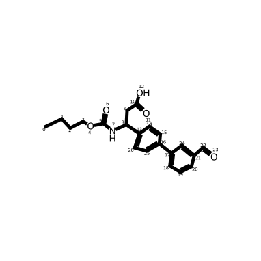 CCCCOC(=O)NC(CC(=O)O)c1ccc(-c2cccc(C=O)c2)cc1